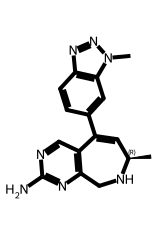 C[C@@H]1C=C(c2ccc3nnn(C)c3c2)c2cnc(N)nc2CN1